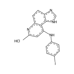 Cc1cc(Nc2ccc(I)cc2)c2c(ccc3nc[nH]c32)n1.Cl